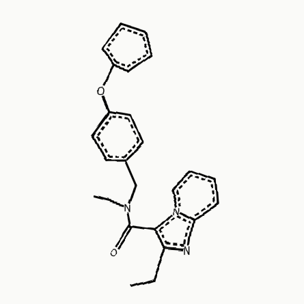 CCc1nc2ccccn2c1C(=O)N(C)Cc1ccc(Oc2ccccc2)cc1